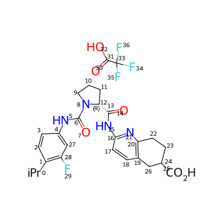 CC(C)c1ccc(NC(=O)N2CCC[C@@H]2C(=O)Nc2ccc3c(n2)CCC(C(=O)O)C3)cc1F.O=C(O)C(F)(F)F